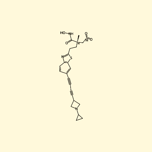 C[C@](CCc1nc2ccc(C#CC#CC3CN(C4CC4)C3)cc2s1)(C[SH](=O)=O)C(=O)NO